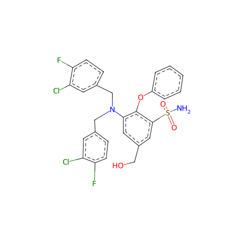 NS(=O)(=O)c1cc(CO)cc(N(Cc2ccc(F)c(Cl)c2)Cc2ccc(F)c(Cl)c2)c1Oc1ccccc1